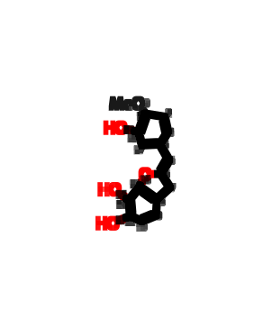 COc1ccc(/C=C2/Cc3ccc(O)c(O)c3O2)cc1O